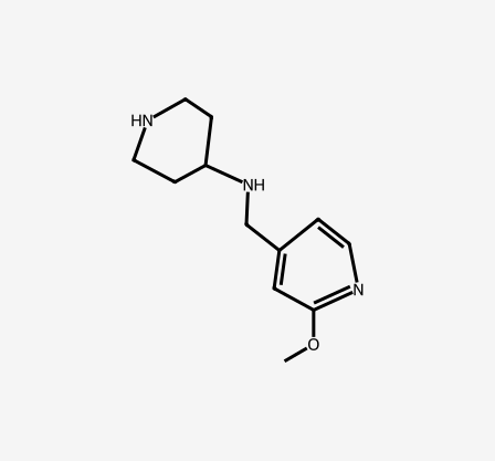 COc1cc(CNC2CCNCC2)ccn1